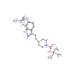 Cc1ccc2c(CCC3CCN(C(=O)OC(C)(C)C)CC3)noc2c1CN(C)C